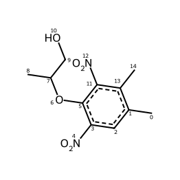 Cc1cc([N+](=O)[O-])c(OC(C)CO)c([N+](=O)[O-])c1C